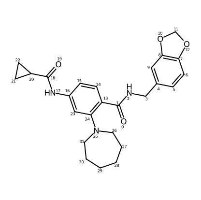 O=C(NCc1ccc2c(c1)OCO2)c1ccc(NC(=O)C2CC2)cc1N1CCCCCC1